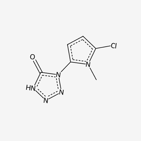 Cn1c(Cl)ccc1-n1nn[nH]c1=O